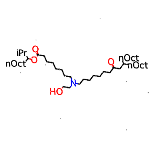 CCCCCCCCC(CCCCCCCC)CC(=O)CCCCCCCN(CCO)CCCCCCCC(=O)OC(CCCCCCCC)C(C)C